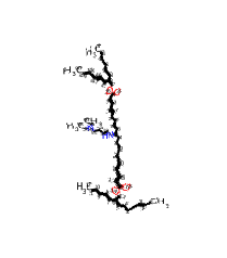 CCCCCCC(CCCCCC)COC(=O)CCCCCCCCC(CCCCCCCCC(=O)OCC(CCCCCC)CCCCCC)NCCCCN(CC)CC